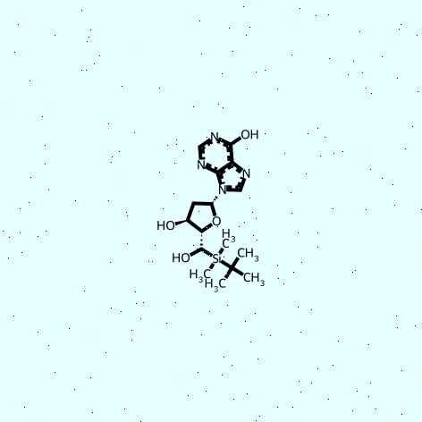 CC(C)(C)[Si](C)(C)C(O)[C@H]1O[C@@H](n2cnc3c(O)ncnc32)C[C@@H]1O